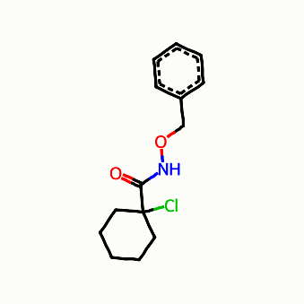 O=C(NOCc1ccccc1)C1(Cl)CCCCC1